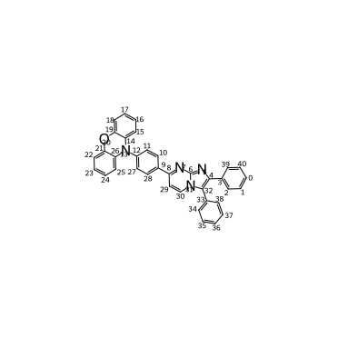 c1ccc(-c2nc3nc(-c4ccc(N5c6ccccc6Oc6ccccc65)cc4)ccn3c2-c2ccccc2)cc1